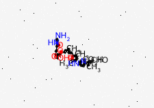 CC(C=C[C@H]1O[C@H](CC(=O)NCCN)C[C@@]2(CO2)[C@@H]1O)=CC[C@@H]1O[C@H](C)[C@H](NC2CC[C@@H](C(C)C=CC=O)N(C(=O)O)C2)C[C@@H]1C